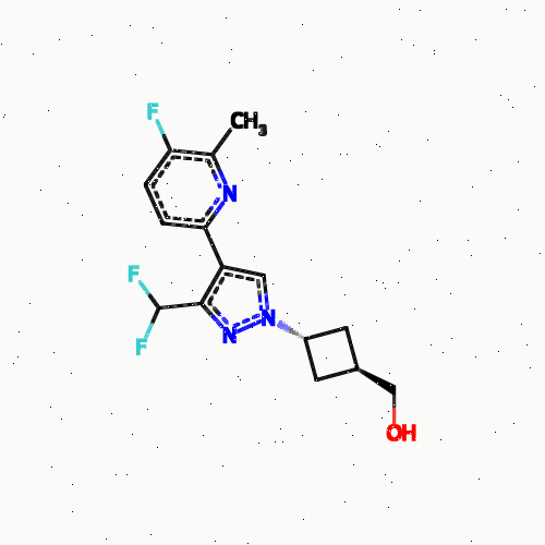 Cc1nc(-c2cn([C@H]3C[C@H](CO)C3)nc2C(F)F)ccc1F